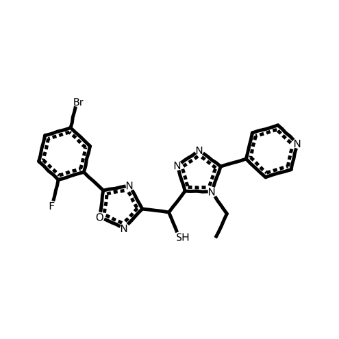 CCn1c(-c2ccncc2)nnc1C(S)c1noc(-c2cc(Br)ccc2F)n1